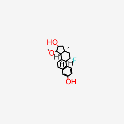 CO[C@H]1[C@H]2[C@@H]3CCc4cc(O)ccc4[C@H]3[C@@H](F)C[C@]2(C)C[C@H]1O